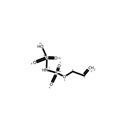 C=CCOS(=O)(=O)NS(=O)(=O)O